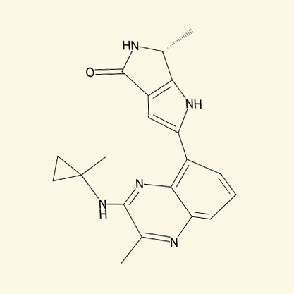 Cc1nc2cccc(-c3cc4c([nH]3)[C@@H](C)NC4=O)c2nc1NC1(C)CC1